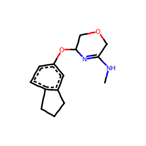 CNC1=NC(Oc2ccc3c(c2)CCC3)COC1